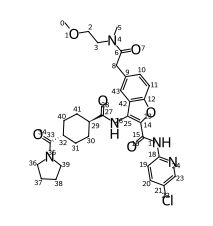 COCCN(C)C(=O)Cc1ccc2oc(C(=O)Nc3ccc(Cl)cn3)c(NC(=O)[C@H]3CC[C@H](C(=O)N4CCCC4)CC3)c2c1